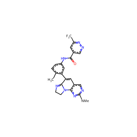 CNc1ncc2c(n1)N1CCN=C1C(c1cc(NC(=O)c3cnnc(C(F)(F)F)c3)ccc1C)=C2